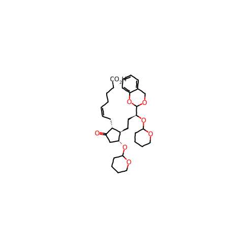 O=C(O)CCC/C=C\C[C@H]1C(=O)C[C@@H](OC2CCCCO2)[C@@H]1CC[C@H](OC1CCCCO1)C1OCc2ccccc2O1